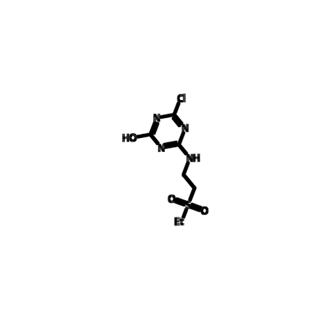 CCS(=O)(=O)CCNc1nc(O)nc(Cl)n1